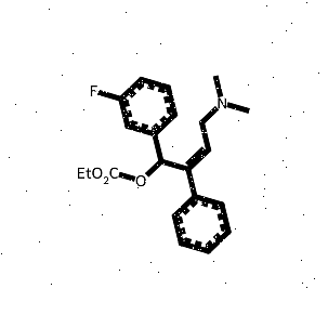 CCOC(=O)OC(C(=CCN(C)C)c1ccccc1)c1cccc(F)c1